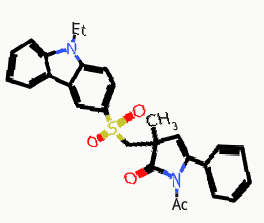 CCn1c2ccccc2c2cc(S(=O)(=O)CC3(C)C=C(c4ccccc4)N(C(C)=O)C3=O)ccc21